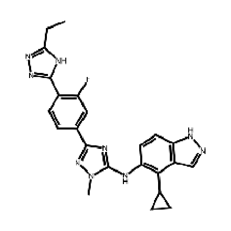 CCc1nnc(-c2ccc(-c3nc(Nc4ccc5[nH]ncc5c4C4CC4)n(C)n3)cc2F)[nH]1